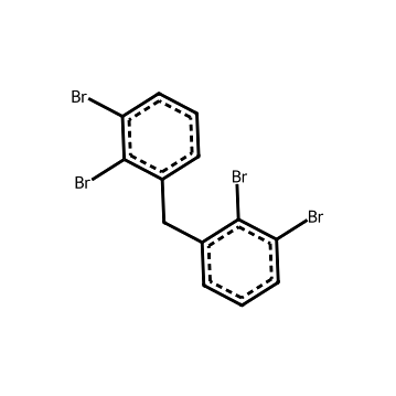 Brc1cccc(Cc2cccc(Br)c2Br)c1Br